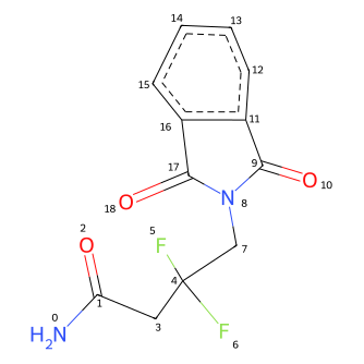 NC(=O)CC(F)(F)CN1C(=O)c2ccccc2C1=O